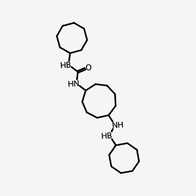 O=C(BC1CCCCCCC1)NC1CCCCC(NBC2CCCCCCC2)CCC1